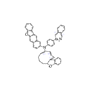 CC(/C=c1/cccc/c1=C/N)c1ccc(N(C2=C\CCCC3Oc4ccccc4\C3=C/C=C/2)c2ccc3cc4oc5ccccc5c4cc3c2)cc1